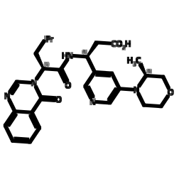 CC(C)C[C@@H](C(=O)N[C@@H](CC(=O)O)c1cncc(N2CCOC[C@@H]2C)c1)n1cnc2ccccc2c1=O